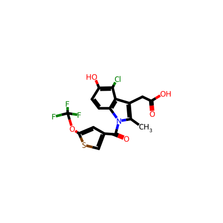 Cc1c(CC(=O)O)c2c(Cl)c(O)ccc2n1C(=O)c1csc(OC(F)(F)F)c1